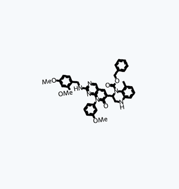 COc1cccc(-n2c(=O)c(C3CNc4cccc(C)c4N3C(=O)OCc3ccccc3)cc3cnc(NCc4ccc(OC)cc4OC)nc32)c1